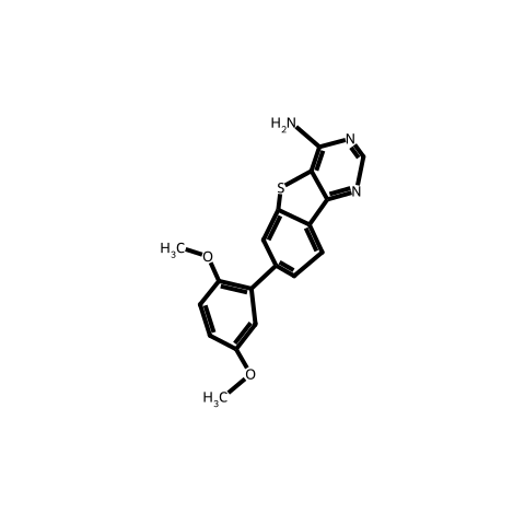 COc1ccc(OC)c(-c2ccc3c(c2)sc2c(N)ncnc23)c1